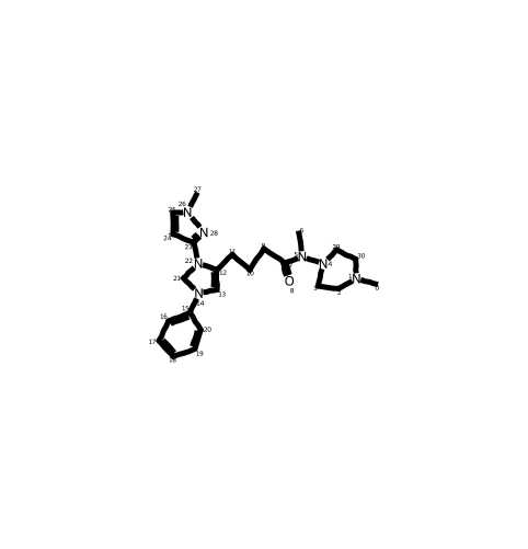 CN1CCN(N(C)C(=O)CCCC2=CN(c3ccccc3)CN2c2[c]cn(C)n2)CC1